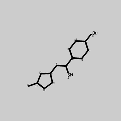 CCC(C)C1CCC(C(S)CC2CCC(C)C2)CC1